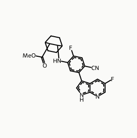 COC(=O)C1C2CCC(CC2)C1Nc1cc(-c2c[nH]c3ncc(F)cc23)c(C#N)cc1F